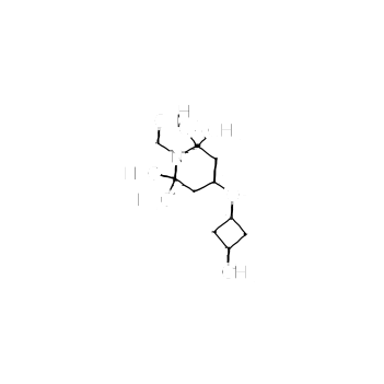 CCN1C(C)(C)CC(OC2CC(C)C2)CC1(C)C